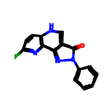 O=c1c2c[nH]c3ccc(F)nc3c-2nn1-c1ccccc1